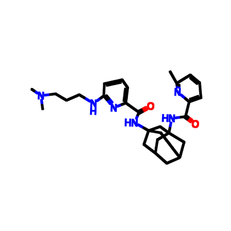 Cc1cccc(C(=O)NC23CC4CC(C2)CC(NC(=O)c2cccc(NCCCN(C)C)n2)(C4)C3)n1